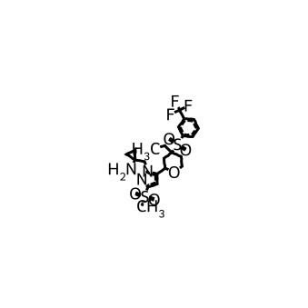 CCC1(S(=O)(=O)c2cccc(C(F)(F)F)c2)CCOC(c2cc(S(C)(=O)=O)nn2CC2(N)CC2)C1